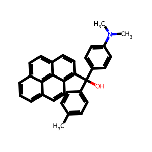 Cc1ccc(C(O)(c2ccc(N(C)C)cc2)c2ccc3ccc4cccc5ccc2c3c45)cc1